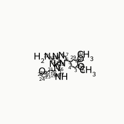 COc1ccc(-c2cnc3nc(N)nc(N4CCNCC4CC4CCCO4)c3n2)cc1OC